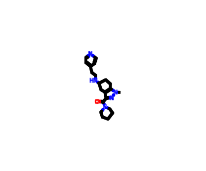 Cn1nc(C(=O)N2CCCCC2)c2c1CCC(NCCc1ccncc1)C2